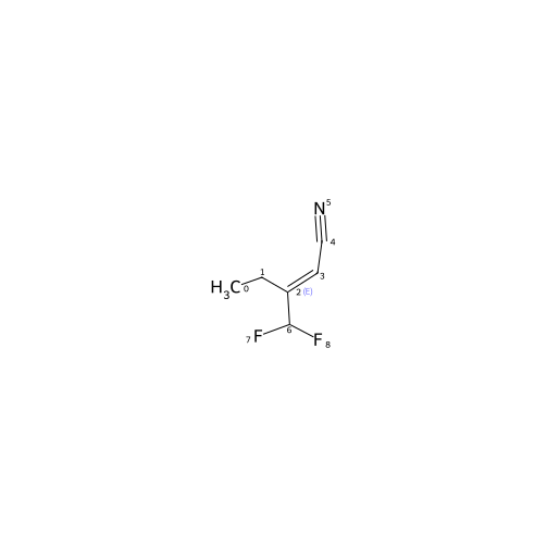 CC/C(=C\C#N)C(F)F